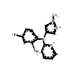 Cn1cc(N(c2ccccn2)c2ccc(F)cc2N)cn1